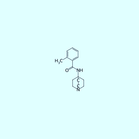 Cc1ccccc1C(=O)NC12CCN(CC1)CC2